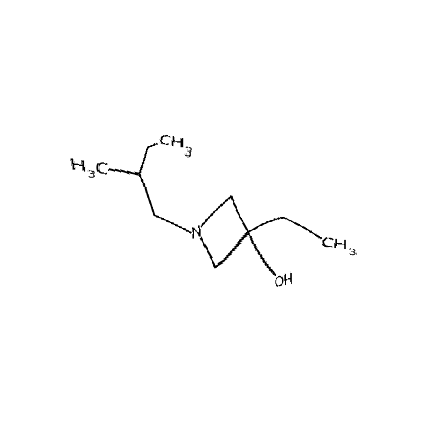 CCC1(O)CN(CC(C)C)C1